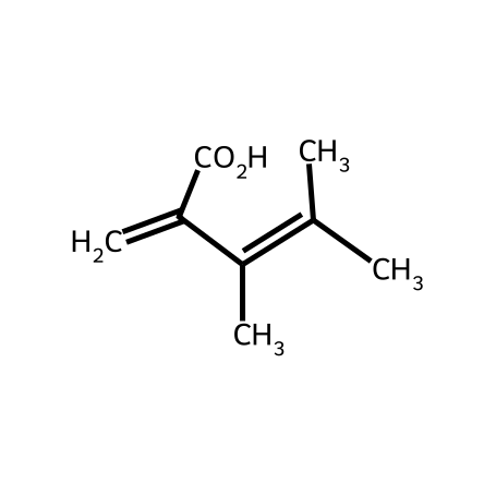 C=C(C(=O)O)C(C)=C(C)C